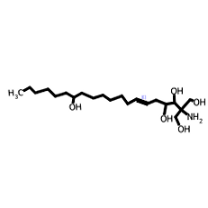 CCCCCCC(O)CCCCCC/C=C/CC(O)C(O)C(N)(CO)CO